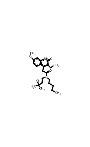 CCCCCN(CCC(C)(C)C)C(=O)Cc1c(CC)c(=O)[nH]c2cc(OC)ccc12